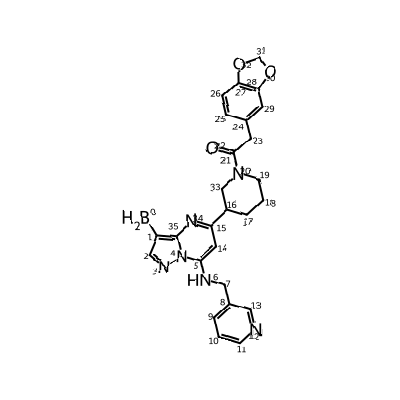 Bc1cnn2c(NCc3cccnc3)cc(C3CCCN(C(=O)Cc4ccc5c(c4)OCO5)C3)nc12